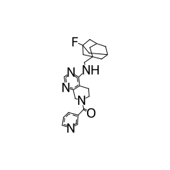 O=C(c1cccnc1)N1CCc2c(ncnc2NCC23CC4CC(CC(F)(C4)C2)C3)C1